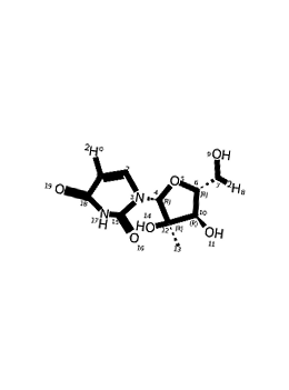 [2H]c1cn([C@@H]2O[C@H](C([2H])O)[C@@H](O)[C@@]2(C)O)c(=O)[nH]c1=O